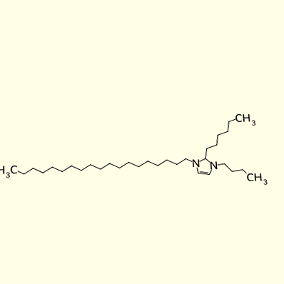 CCCCCCCCCCCCCCCCCCCN1C=CN(CCCC)C1CCCCCC